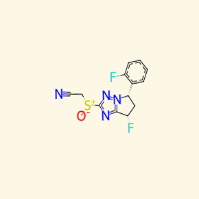 N#CC[S+]([O-])c1nc2n(n1)[C@H](c1ccccc1F)C[C@@H]2F